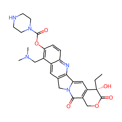 CC[C@@]1(O)C(=O)OCc2c1cc1n(c2=O)Cc2cc3c(CN(C)C)c(OC(=O)N4CCNCC4)ccc3nc2-1